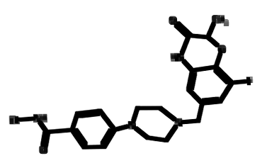 CCNC(=O)c1ccc(N2CCN(Cc3cc(F)c4c(c3)NC(=O)C(C)O4)CC2)cc1